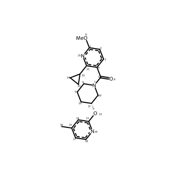 COc1ccc(C(=O)N2CCC[C@@H](Oc3cc(C)ccn3)C2)c(C2CC2)n1